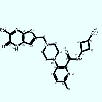 CCc1nc2sc(CN3CCN(c4ccc(C)nc4C(=O)NC4CC(O)C4)CC3)cc2[nH]c1=O